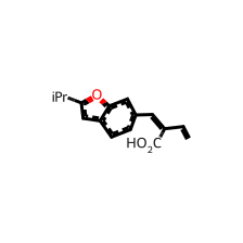 C=C/C(=C/c1ccc2cc(C(C)C)oc2c1)C(=O)O